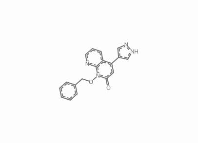 O=c1cc(-c2cn[nH]c2)c2cccnc2n1OCc1ccccc1